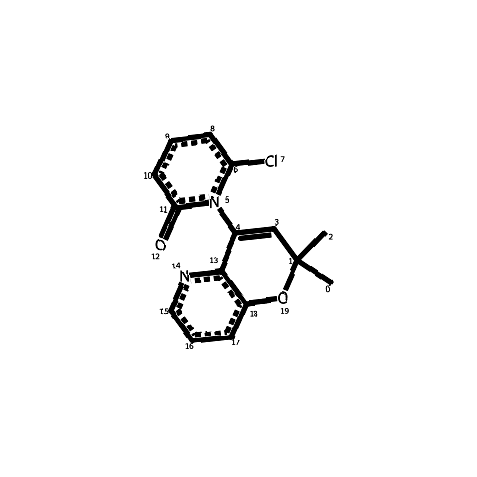 CC1(C)C=C(n2c(Cl)cccc2=O)c2ncccc2O1